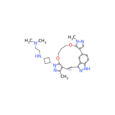 Cc1nn([C@H]2C[C@@H](NCCN(C)C)C2)c2c1/C=C/c1n[nH]c3ccc(cc13)-c1cnn(C)c1OCCCO2